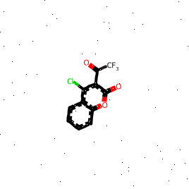 O=C(c1c(Cl)c2ccccc2oc1=O)C(F)(F)F